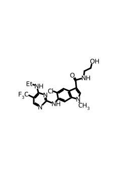 CCNc1nc(Nc2cc3c(cc2Cl)c(C(=O)NCCO)cn3C)ncc1C(F)(F)F